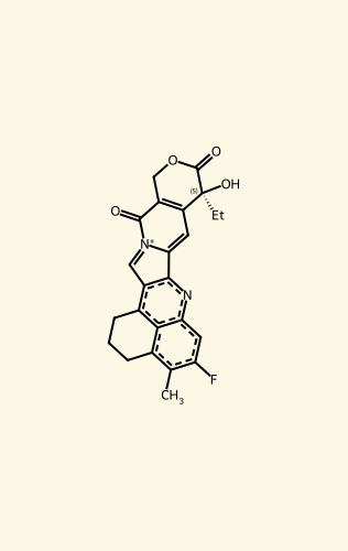 CC[C@@]1(O)C(=O)OCC2=C1C=C1c3nc4cc(F)c(C)c5c4c(c3C=[N+]1C2=O)CCC5